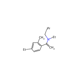 C=C(c1ccc(CC)cc1C)N(CC)CC(C)C